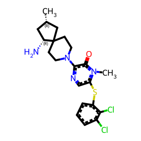 C[C@H]1C[C@@H](N)C2(CCN(c3ncc(Sc4cccc(Cl)c4Cl)n(C)c3=O)CC2)C1